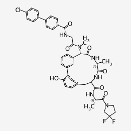 C[C@@H]1NC(=O)C(N(C)C(=O)CNC(=O)c2ccc(-c3ccc(Cl)cc3)cc2)c2cccc(c2)-c2cc(ccc2O)CC(C(=O)N[C@@H](C)C(=O)N2CCC(F)(F)C2)NC1=O